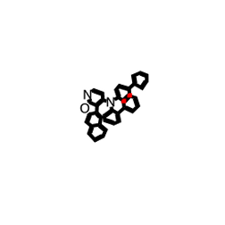 c1ccc(-c2ccc(N(c3ccccc3-c3ccccc3)c3ccnc4oc5cc6ccccc6cc5c34)cc2)cc1